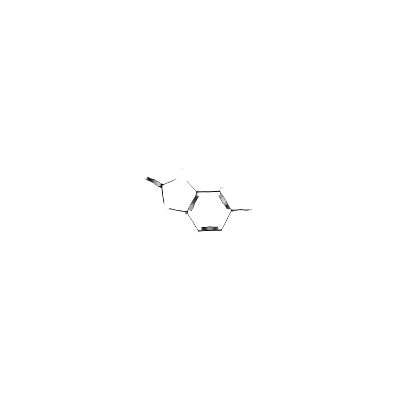 Cc1ccc2sc(=O)oc2c1